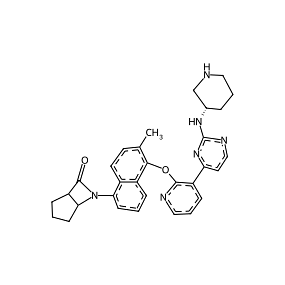 Cc1ccc2c(N3C(=O)C4CCCC43)cccc2c1Oc1ncccc1-c1ccnc(N[C@H]2CCCNC2)n1